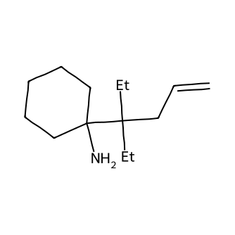 C=CCC(CC)(CC)C1(N)CCCCC1